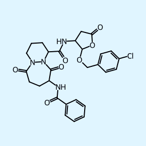 O=C1CC(NC(=O)C2CCCN3C(=O)CCC(NC(=O)c4ccccc4)C(=O)N23)C(OCc2ccc(Cl)cc2)O1